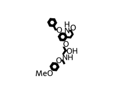 COc1ccc(OC(C)NCC(O)COc2ccc(OCc3ccccc3)c3c2CCC(=O)N3)cc1